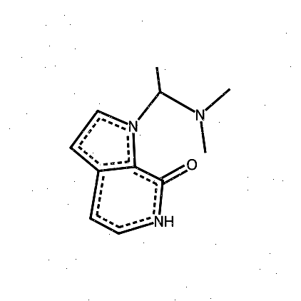 CC(N(C)C)n1ccc2cc[nH]c(=O)c21